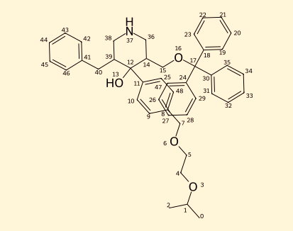 CC(C)OCCOCc1ccc(C2(O)C(COC(c3ccccc3)(c3ccccc3)c3ccccc3)CNCC2Cc2ccccc2)cc1